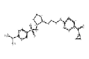 CC(C)c1ccc(S(=O)(=O)NC2CCCN2CCCOc2ccc(C(=O)C3CC3)cc2)cc1